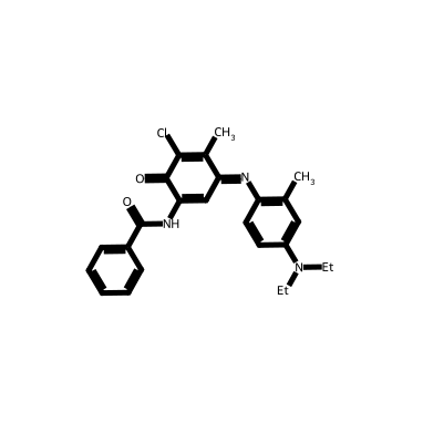 CCN(CC)c1ccc(/N=C2\C=C(NC(=O)c3ccccc3)C(=O)C(Cl)=C2C)c(C)c1